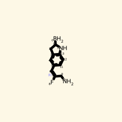 BC1Cc2cc(/C=C(/F)CN)ccc2N1